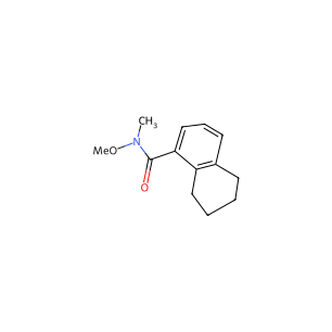 CON(C)C(=O)c1cccc2c1CCCC2